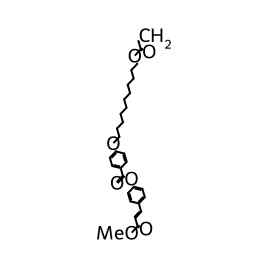 C=CC(=O)OCCCCCCCCCCCOc1ccc(C(=O)Oc2ccc(C=CC(=O)OC)cc2)cc1